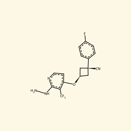 N#C[C@]1(c2ccc(F)cc2)C[C@H](Oc2ccnc(NN)c2C(F)(F)F)C1